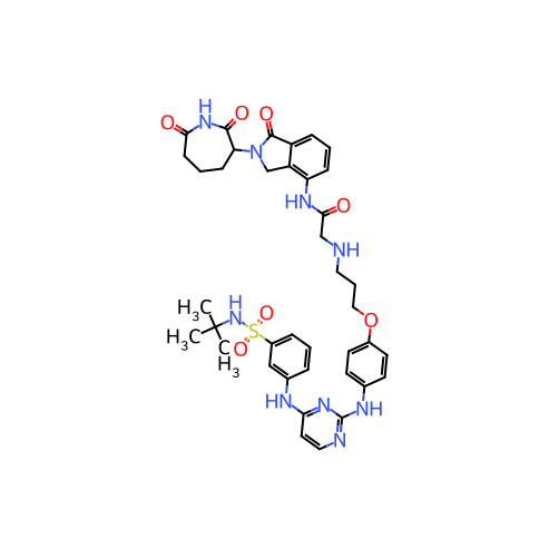 CC(C)(C)NS(=O)(=O)c1cccc(Nc2ccnc(Nc3ccc(OCCCNCC(=O)Nc4cccc5c4CN(C4CCCC(=O)NC4=O)C5=O)cc3)n2)c1